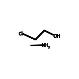 CN.OCCCl